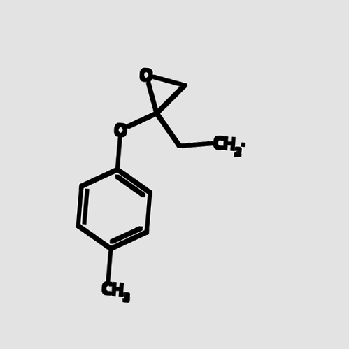 [CH2]CC1(Oc2ccc(C)cc2)CO1